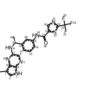 Cc1c[nH]c2ncc(N[C@@H](C)c3cccc(NC(=O)c4cnc(C(F)(F)F)s4)c3)nc12